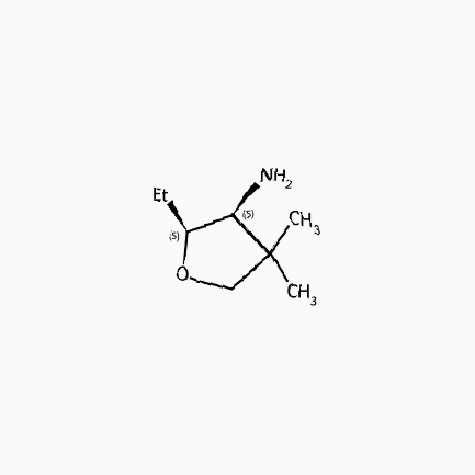 CC[C@@H]1OCC(C)(C)[C@@H]1N